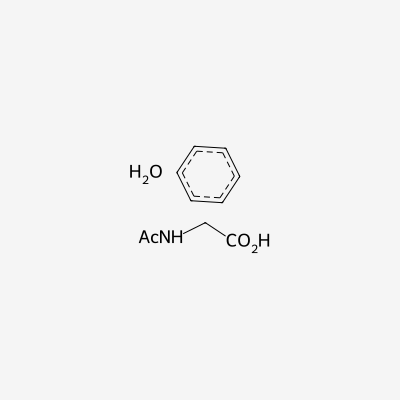 CC(=O)NCC(=O)O.O.c1ccccc1